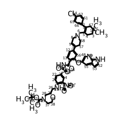 CC1(C)CCC(CN2CC=C(c3ccc(C(=O)NS(=O)(=O)c4ccc(NCC5CN(C(=O)OC(C)(C)C)CCO5)c([N+](=O)[O-])c4)c(Oc4cnc5[nH]ccc5c4)c3)CC2)=C(c2ccc(Cl)cc2)C1